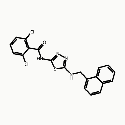 O=C(Nc1nnc(NCc2cccc3ccccc23)s1)c1c(Cl)cccc1Cl